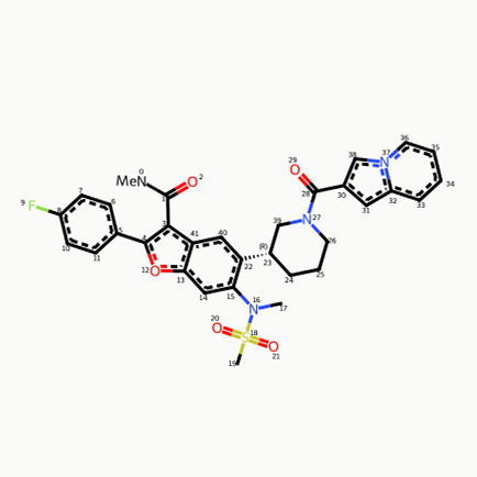 CNC(=O)c1c(-c2ccc(F)cc2)oc2cc(N(C)S(C)(=O)=O)c([C@H]3CCCN(C(=O)c4cc5ccccn5c4)C3)cc12